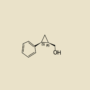 OC[C@@H]1C[C@@H]1c1ccccc1